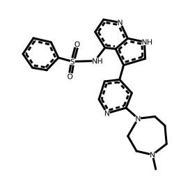 CN1CCCN(c2cc(-c3c[nH]c4nccc(NS(=O)(=O)c5ccccc5)c34)ccn2)CC1